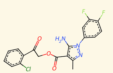 Cc1nn(-c2ccc(F)c(F)c2)c(N)c1C(=O)OCC(=O)c1ccccc1Cl